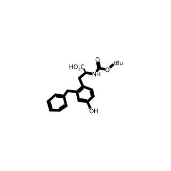 CC(C)(C)OC(=O)N[C@@H](Cc1ccc(O)cc1Cc1ccccc1)C(=O)O